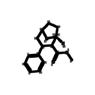 COC(=O)C1C(c2ccccc2)CC2CC[C@H]1O2